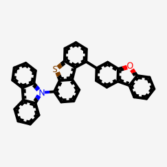 c1ccc2c(c1)oc1cc(-c3cccc4sc5c(-n6c7ccccc7c7ccccc76)cccc5c34)ccc12